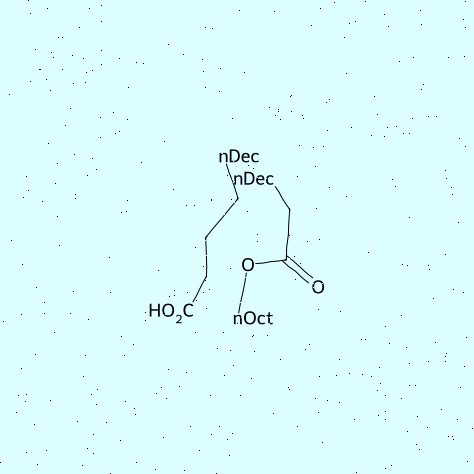 CCCCCCCCCCCC(=O)OCCCCCCCC.CCCCCCCCCCCCCC(=O)O